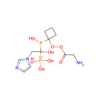 NCC(=O)OOC1(P(O)C(O)(Cn2ccnc2)[PH](O)(O)O)CCC1